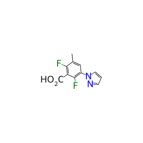 Cc1cc(-n2cccn2)c(F)c(C(=O)O)c1F